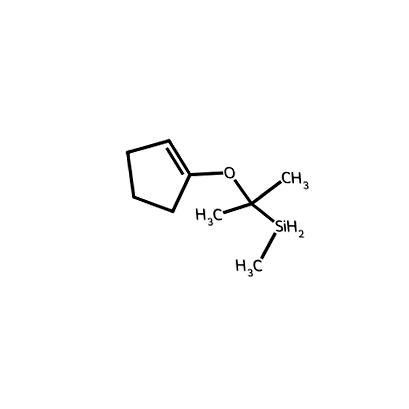 C[SiH2]C(C)(C)OC1=CCCC1